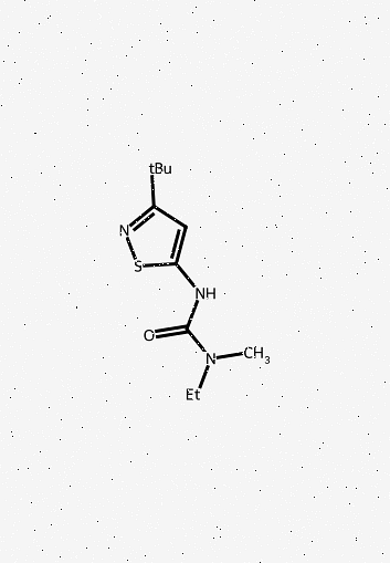 CCN(C)C(=O)Nc1cc(C(C)(C)C)ns1